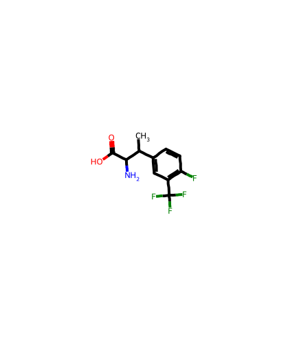 CC(c1ccc(F)c(C(F)(F)F)c1)C(N)C(=O)O